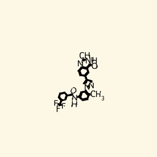 Cc1nc2ccc(-c3cnn(-c4cc(NC(=O)c5cccc(C(F)(F)F)c5)ccc4C)c3)cc2c(=O)[nH]1